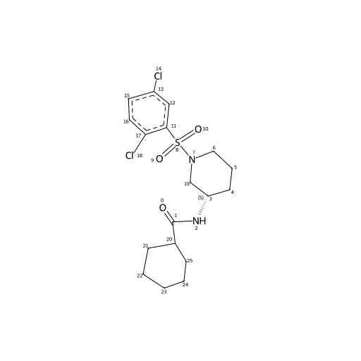 O=C(N[C@H]1CCCN(S(=O)(=O)c2cc(Cl)ccc2Cl)C1)C1CCCCC1